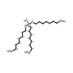 CCCCCCCCCCCCCCCCCO[PH](O)(CCCCCCCCCCCCCCCCC)OCCCCCCCCCCCCCCCCC